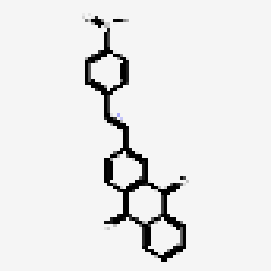 O=C1c2ccccc2C(=O)c2cc(/C=C/c3ccc([N+](=O)[O-])cc3)ccc21